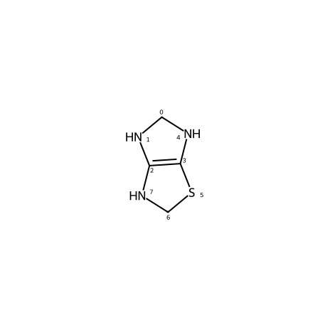 C1NC2=C(N1)SCN2